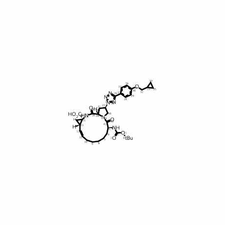 CC(C)(C)OC(=O)N[C@H]1CCCCC/C=C\[C@@H]2C[C@@]2(C(=O)O)NC(=O)[C@@H]2C[C@@H](n3nnc(-c4ccc(OCC5CC5)cc4)n3)CN2C1=O